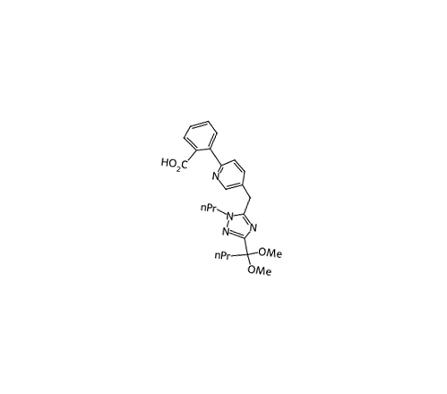 CCCn1nc(C(CCC)(OC)OC)nc1Cc1ccc(-c2ccccc2C(=O)O)nc1